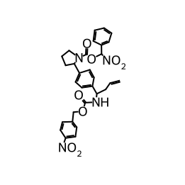 C=CCC(NC(=O)OCc1ccc([N+](=O)[O-])cc1)c1ccc(C2CCCN2C(=O)OC(c2ccccc2)[N+](=O)[O-])cc1